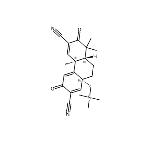 CC1(C)C(=O)C(C#N)=C[C@]2(C)C3=CC(=O)C(C#N)=C[C@]3(C[Si](C)(C)C)CC[C@@H]12